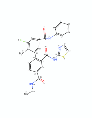 Cc1c(F)cc(C(=O)Nc2ccccc2)cc1-c1ccc(C(=O)NCC(C)(C)C)cc1C(=O)Nc1nccs1